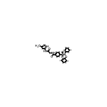 Cc1cc(NC(=O)CNC(=O)c2ccc(S(=O)(=O)N(Oc3ccccc3)c3ccccc3)cc2)[nH]n1